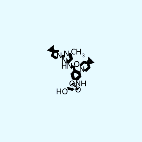 Cc1cc(NC(=O)c2ccc(NS(=O)(=O)CCO)cc2N2CCC3(CC2)CC3)nc(N2CCC3(CC3)C2)n1